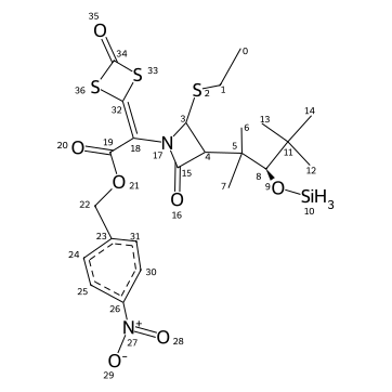 CCSC1C(C(C)(C)[C@H](O[SiH3])C(C)(C)C)C(=O)N1C(C(=O)OCc1ccc([N+](=O)[O-])cc1)=C1SC(=O)S1